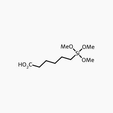 CO[Si](CCCCCC(=O)O)(OC)OC